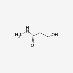 CNC(=O)CCO